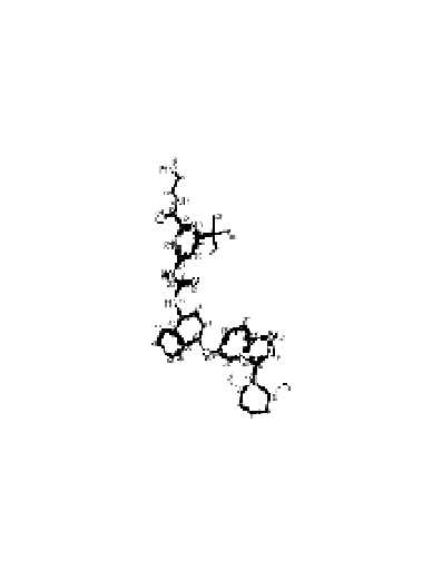 C[C@@H]1CCC[C@H](C)N1c1nnc2ccc(O[C@@H]3CC[C@H](NC(=O)Nc4cc(C(C)(C)C)nc(C(=O)NCCO)n4)c4ccccc43)cn12